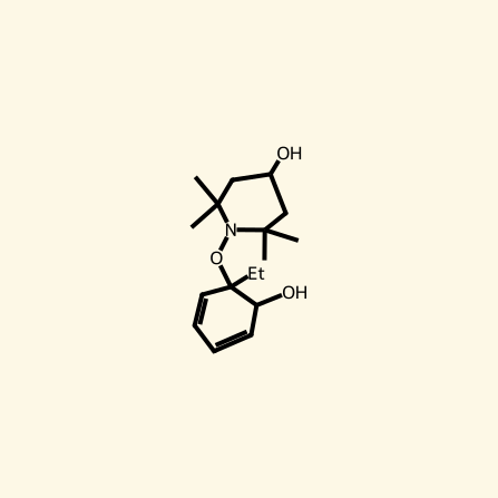 CCC1(ON2C(C)(C)CC(O)CC2(C)C)C=CC=CC1O